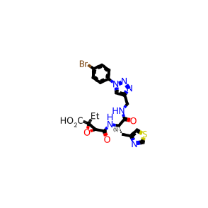 CCC1(C(=O)O)OC1C(=O)N[C@@H](Cc1cscn1)C(=O)NCc1cn(-c2ccc(Br)cc2)nn1